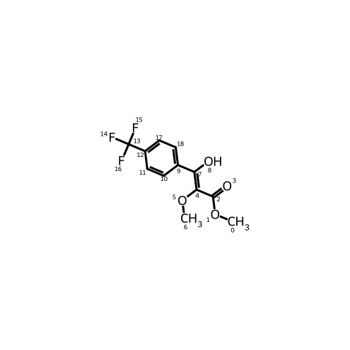 COC(=O)C(OC)=C(O)c1ccc(C(F)(F)F)cc1